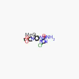 COc1cc(Nc2nc(Cl)cnc2C(N)=O)ccc1N1CCC2(CC1)OCCO2